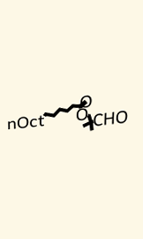 CCCCCCCCCCCCCC(=O)OCC(C)(C)C=O